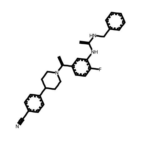 C=C(NCc1ccccc1)Nc1cc(C(=C)N2CCC(c3ccc(C#N)cc3)CC2)ccc1F